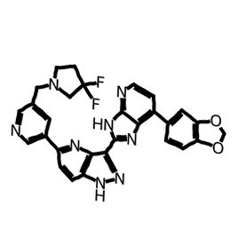 FC1(F)CCN(Cc2cncc(-c3ccc4[nH]nc(-c5nc6c(-c7ccc8c(c7)OCO8)ccnc6[nH]5)c4n3)c2)C1